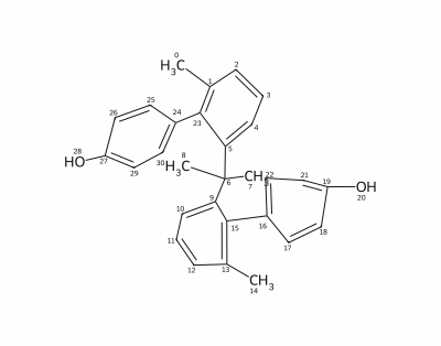 Cc1cccc(C(C)(C)c2cccc(C)c2-c2ccc(O)cc2)c1-c1ccc(O)cc1